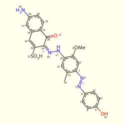 COc1cc(/N=N/c2ccc(O)cc2)c(C)cc1N/N=C1\C(=O)c2ccc(N)cc2C=C1S(=O)(=O)O